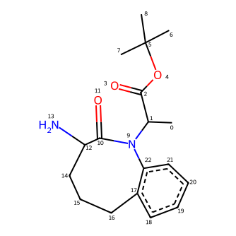 CC(C(=O)OC(C)(C)C)N1C(=O)C(N)CCCc2ccccc21